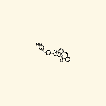 O=C1c2ccccc2C#Cc2ccccc2N1CC1CC(c2ccc(CN3CCNCC3)cc2)=NO1